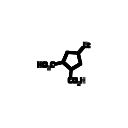 CCC1CC(C(=O)O)C(C(=O)O)C1